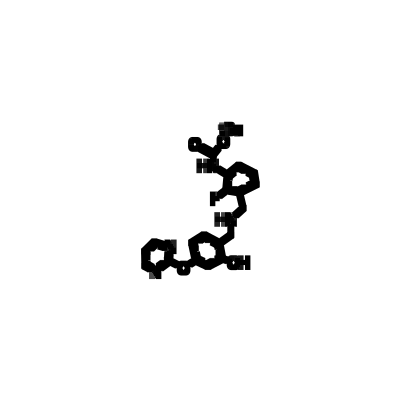 CC(C)(C)OC(=O)Nc1cccc(CNCc2ccc(Oc3ncccn3)cc2O)c1F